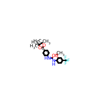 COc1cc(C(F)(F)F)ccc1NC(=O)Nc1ccc(B2OC(C)(C)C(C)(C)O2)cc1